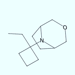 CCC1(N2C3CCC2COC3)CCC1